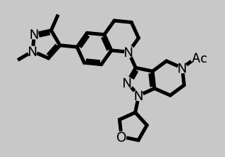 CC(=O)N1CCc2c(c(N3CCCc4cc(-c5cn(C)nc5C)ccc43)nn2C2CCOC2)C1